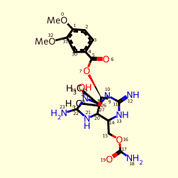 COc1ccc(C(=O)O[C@H]2CN3C(=N)NC(COC(N)=O)C4NC(N)N(O)C43C2(C)C)cc1OC